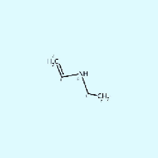 [CH2]CNC=C